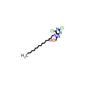 CCCCCCCCCCCCCCCCn1c(CO)nc2nc(Cl)nc(Cl)c21